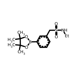 CCNS(=O)(=O)Cc1cccc(B2OC(C)(C)C(C)(C)O2)c1